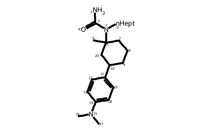 CCCCCCCN(C(N)=O)C1(C)CCCC(c2ccc(N(C)C)cc2)C1